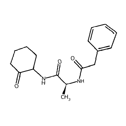 C[C@H](NC(=O)Cc1ccccc1)C(=O)NC1CCCCC1=O